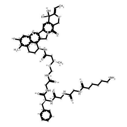 C/C=C1\OCc2c(cc3n(c2=O)Cc2c-3nc3cc(F)c(C)c4c3c2[C@@H](NC(=O)C[C@H](C)OCNC(=O)CNC(=O)[C@H](Cc2ccccc2)NC(=O)CNC(=O)CNC(=O)CCCCCN)CC4)[C@@]1(O)CC